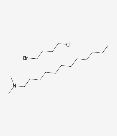 CCCCCCCCCCCCN(C)C.ClCCCCBr